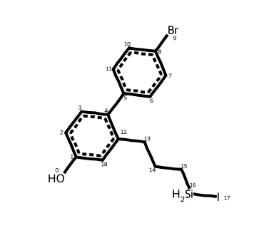 Oc1ccc(-c2ccc(Br)cc2)c(CCC[SiH2]I)c1